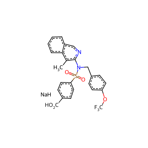 Cc1c(N(Cc2ccc(OC(F)(F)F)cc2)S(=O)(=O)c2ccc(C(=O)O)cc2)ncc2ccccc12.[NaH]